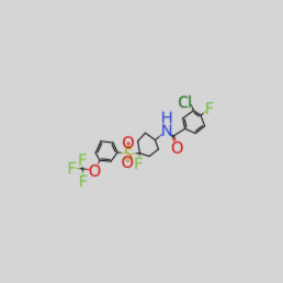 O=C(NC1CCC(F)(S(=O)(=O)c2cccc(OC(F)(F)F)c2)CC1)c1ccc(F)c(Cl)c1